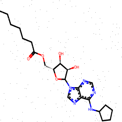 CCCCCCCC(=O)OC[C@H]1OC(n2cnc3c(NC4CCCC4)ncnc32)[C@H](O)[C@@H]1O